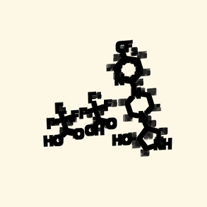 O=C(O)C(F)(F)F.O=C(O)C(F)(F)F.O[C@H]1CNC[C@@H]1N1CCN(c2ccc(C(F)(F)F)cn2)CC1